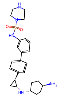 N[C@H]1CC[C@H](N[C@@H]2C[C@H]2c2ccc(-c3cccc(NS(=O)(=O)N4CCNCC4)c3)cc2)CC1